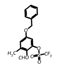 Cc1cc(OCc2ccccc2)cc(OS(=O)(=O)C(F)(F)F)c1C=O